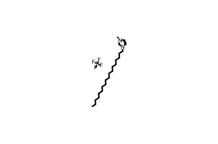 CCCCCCCCCCCCCCCCCCN1C=CN(C)C1.F[B-](F)(F)F